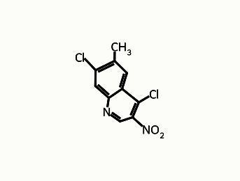 Cc1cc2c(Cl)c([N+](=O)[O-])cnc2cc1Cl